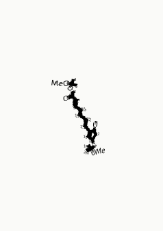 COC(C)(C)OCC(=O)C=CCCCCC1=CC(OC(C)(C)OC)CC1=O